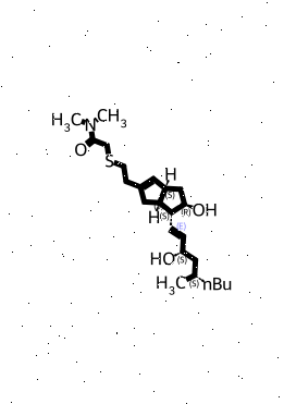 CCCC[C@H](C)C[C@H](O)/C=C/[C@@H]1[C@H]2CC(CCSCC(=O)N(C)C)=C[C@H]2C[C@H]1O